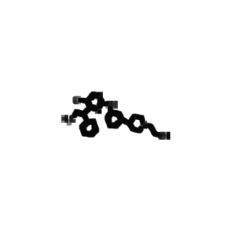 C/C=C(\c1ccccc1)c1nc(Nc2cccc(C3CCN(CCO)CC3)c2)ncc1Cl